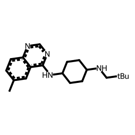 Cc1ccc2ncnc(NC3CCC(NCC(C)(C)C)CC3)c2c1